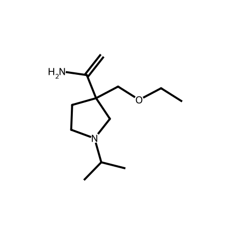 C=C(N)C1(COCC)CCN(C(C)C)C1